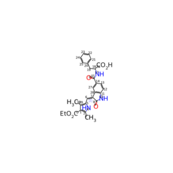 CCOC(=O)c1c(C)[nH]c(/C=C2\C(=O)Nc3ccc(C(=O)NC(Cc4ccccc4)C(=O)O)cc32)c1C